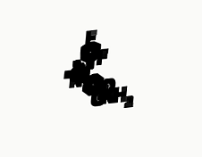 Cc1nc(-c2ccc(S(N)(=O)=O)cc2)n(Cc2ccc(F)cc2F)c1C